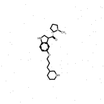 CN1CCC[C@H]1C(=O)C1CNc2ccc(OCCCC3CCCNC3)cc21